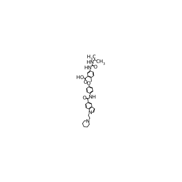 CC(C)NC(=O)Nc1ccc(COc2ccc(NC(=O)c3ccc4c(ccn4CCN4CCCCC4)c3)cc2)c(C(=O)O)c1